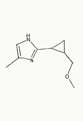 COCC1CC1c1nc(C)c[nH]1